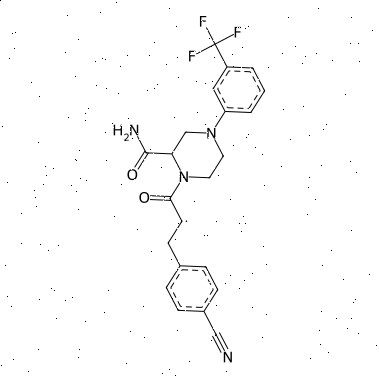 N#Cc1ccc(C[CH]C(=O)N2CCN(c3cccc(C(F)(F)F)c3)CC2C(N)=O)cc1